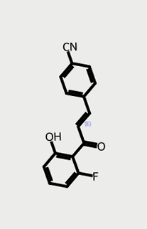 N#Cc1ccc(/C=C/C(=O)c2c(O)cccc2F)cc1